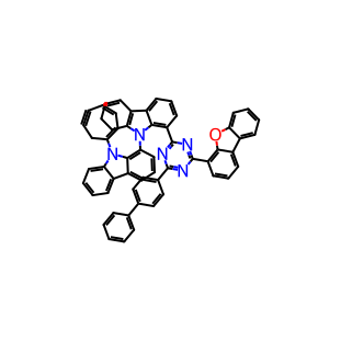 C1#CCC(n2c3ccccc3c3cccc(-n4c5c(c6cccc(-c7nc(-c8ccc(-c9ccccc9)cc8)nc(-c8cccc9c8oc8ccccc89)n7)c64)C=CCC5)c32)=CC=C1